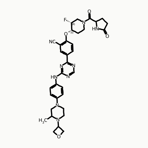 CC1CN(c2ccc(Nc3ncnc(-c4ccc(O[C@H]5CCN(C(=O)C6CCC(=O)N6)C[C@H]5F)c(C#N)c4)n3)cc2)CCN1C1COC1